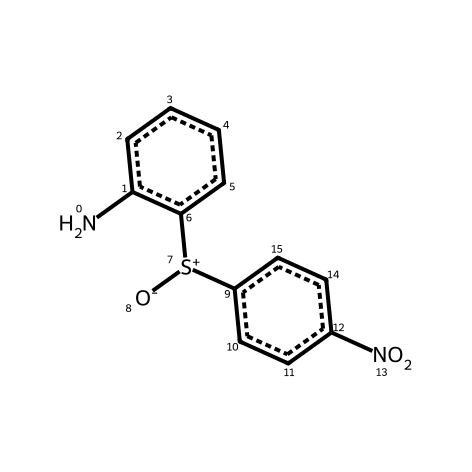 Nc1ccccc1[S+]([O-])c1ccc([N+](=O)[O-])cc1